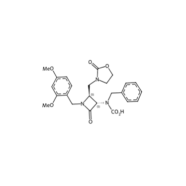 COc1ccc(CN2C(=O)[C@@H](N(Cc3ccccc3)C(=O)O)[C@@H]2CN2CCOC2=O)c(OC)c1